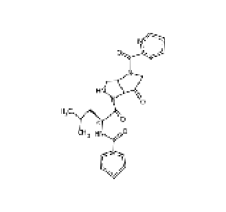 CC(C)C[C@H](NC(=O)c1ccccc1)C(=O)N1NCC2C1C(=O)CN2C(=O)c1ccccn1